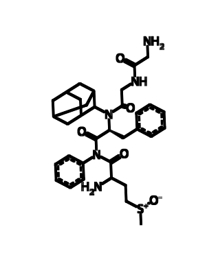 C[S+]([O-])CCC(N)C(=O)N(C(=O)[C@H](Cc1ccccc1)N(C(=O)CNC(=O)CN)C1C2CC3CC(C2)CC1C3)c1ccccc1